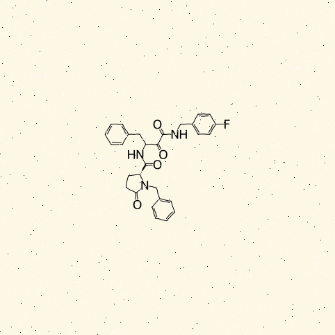 O=C(NCc1ccc(F)cc1)C(=O)C(Cc1ccccc1)NC(=O)[C@@H]1CCC(=O)N1Cc1ccccc1